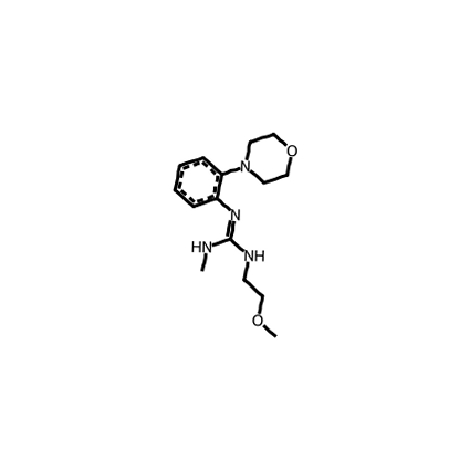 CN/C(=N\c1ccccc1N1CCOCC1)NCCOC